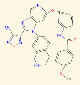 COc1ccc(C(=O)Nc2cccc(Oc3cc4c(cn3)nc(-c3nonc3N)n4-c3ccc4c(c3)CNCC4)c2)cc1